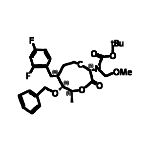 COCN(C(=O)OC(C)(C)C)[C@H]1CCC[C@H](Cc2ccc(F)cc2F)[C@@H](OCc2ccccc2)[C@H](C)OC1=O